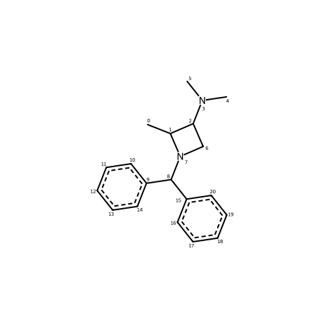 CC1C(N(C)C)CN1C(c1ccccc1)c1ccccc1